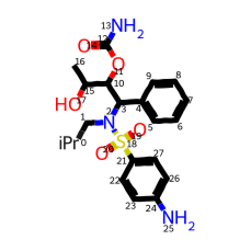 CC(C)CN(C(c1ccccc1)C(OC(N)=O)C(C)O)S(=O)(=O)c1ccc(N)cc1